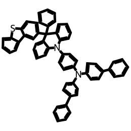 c1ccc(-c2ccc(N(c3ccc(-c4ccccc4)cc3)c3ccc(N4c5ccccc5C(c5ccccc5)(c5ccc6sc7ccccc7c6c5)c5ccccc54)cc3)cc2)cc1